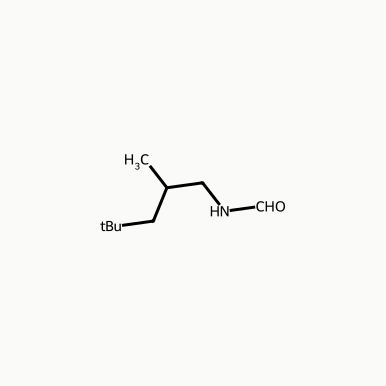 CC(CNC=O)CC(C)(C)C